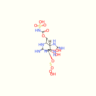 N=C1N[C@H]2[C@H](COC(=O)NS(=O)(=O)O)NC(=N)N3C[C@H](OSOOO)C(O)(O)C23N1